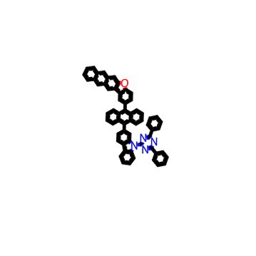 c1ccc(-c2nc(-c3ccccc3)nc(-n3c4ccccc4c4ccc(-c5c6ccccc6c(-c6ccc7oc8cc9cc%10ccccc%10cc9cc8c7c6)c6ccccc56)cc43)n2)cc1